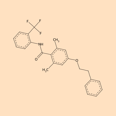 Cc1cc(OCCc2ccccc2)cc(C)c1C(=O)Nc1ccccc1C(F)(F)F